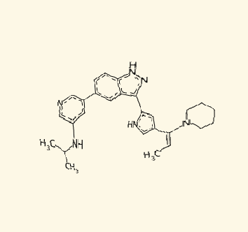 C/C=C(\c1c[nH]c(-c2n[nH]c3ccc(-c4cncc(NC(C)C)c4)cc23)c1)N1CCCCC1